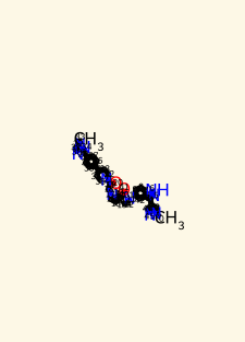 Cn1cc(-c2n[nH]c3ccc(N4CC[C@]5(CCN(CC(=O)N6CC=C(c7ccc(-c8ncn(C)n8)cc7)CC6)C5)C4=O)cc23)cn1